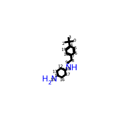 CC(C)(C)c1ccc(CCN[C@H]2CC[C@@H](N)CC2)cc1